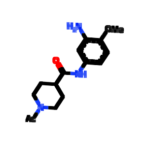 COc1ccc(NC(=O)C2CCN(C(C)=O)CC2)cc1N